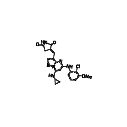 COc1cccc(Nc2cc(NC3CC3)n3ncc(C=C4CC(=O)NC4=O)c3n2)c1Cl